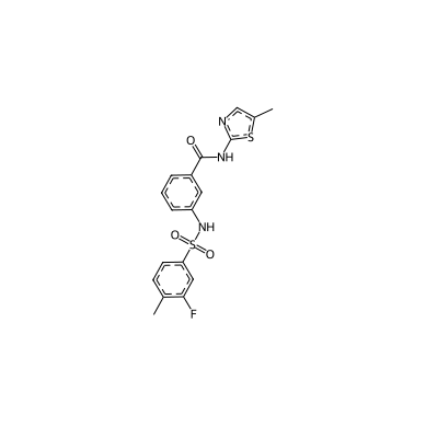 Cc1cnc(NC(=O)c2cccc(NS(=O)(=O)c3ccc(C)c(F)c3)c2)s1